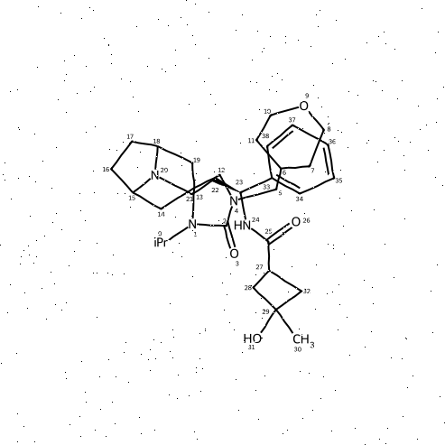 CC(C)N1C(=O)N(CC2CCOCC2)CC12CC1CCC(C2)N1CC[C@H](NC(=O)C1CC(C)(O)C1)c1ccccc1